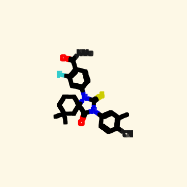 CNC(=O)c1ccc(N2C(=S)N(c3ccc(C#N)c(C)c3)C(=O)C23CCCC(C)(C)C3)cc1F